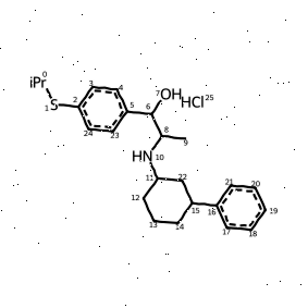 CC(C)Sc1ccc(C(O)C(C)NC2CCCC(c3ccccc3)C2)cc1.Cl